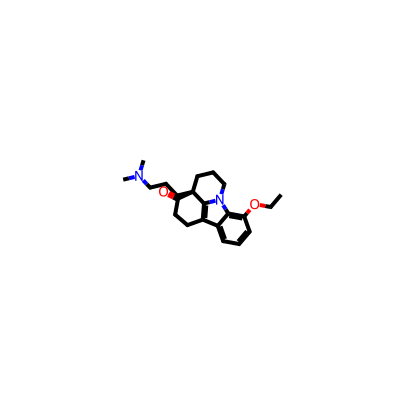 CCOc1cccc2c3c4n(c12)CCCC4(CCCN(C)C)C(=O)CC3